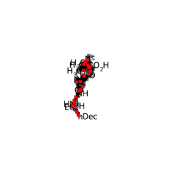 CCCCCCCCCCCCC/C=C/[C@@H](O)[C@H](CC)NC(=O)CCCCCNC(=O)OC1CCCC2=C(c3ccc(CNC(=O)c4ccc(C(=O)O)c(C5=C6C=C/C(=N\CC)C=C6[Si](C)(C)c6cc(C)ccc65)c4)cc3)NN=CC2CC1